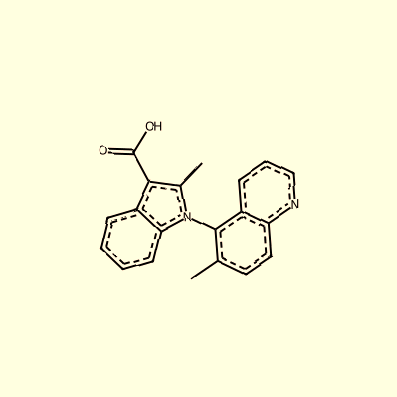 Cc1ccc2ncccc2c1-n1c(C)c(C(=O)O)c2ccccc21